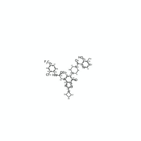 CCc1c(N2CCN(C(=O)c3ncnc(C)c3O)CC2)c(=O)n2nc(N3CCC3)nc2n1CC(=O)Nc1ccc(C(F)(F)F)cc1Cl